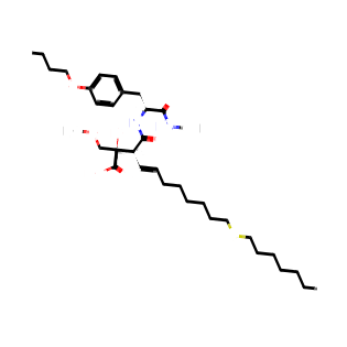 CCCCCCCSCCCCCCC=C[C@H](C(=O)N[C@@H](Cc1ccc(OCCCC)cc1)C(=O)NC)[C@@](O)(COC)C(=O)O